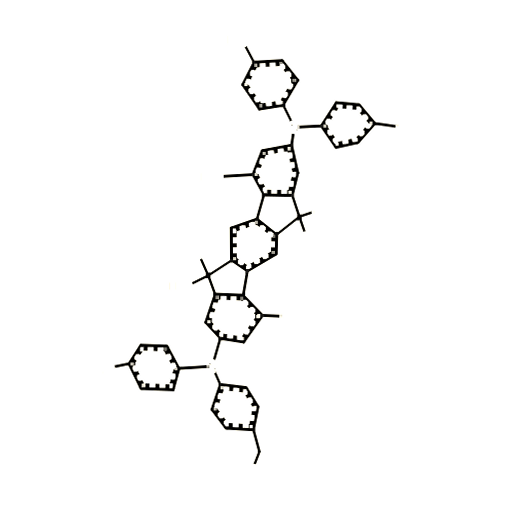 Cc1ccc(N(c2ccc(CF)cc2)c2cc(C)c3c(c2)C(C)(C)c2cc4c(cc2-3)C(C)(C)c2cc(N(c3ccc(C)cc3)c3ccc(C(F)(F)F)cc3)cc(C)c2-4)cc1